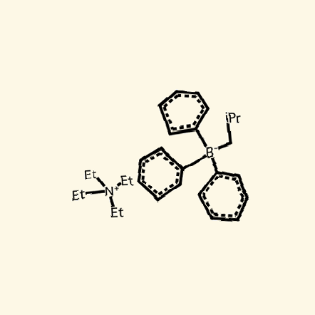 CC(C)C[B-](c1ccccc1)(c1ccccc1)c1ccccc1.CC[N+](CC)(CC)CC